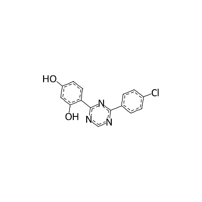 Oc1ccc(-c2ncnc(-c3ccc(Cl)cc3)n2)c(O)c1